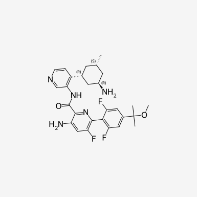 COC(C)(C)c1cc(F)c(-c2nc(C(=O)Nc3cnccc3[C@@H]3C[C@H](C)C[C@@H](N)C3)c(N)cc2F)c(F)c1